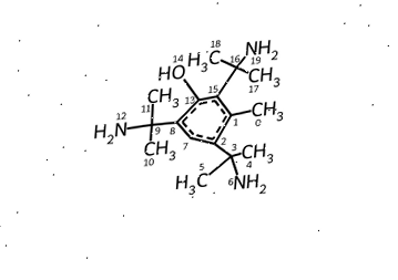 Cc1c(C(C)(C)N)cc(C(C)(C)N)c(O)c1C(C)(C)N